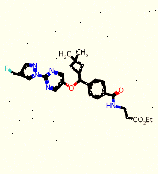 CCOC(=O)CCNC(=O)c1ccc(C(Oc2cnc(-n3cc(CF)cn3)nc2)C2CC(C)(C)C2)cc1